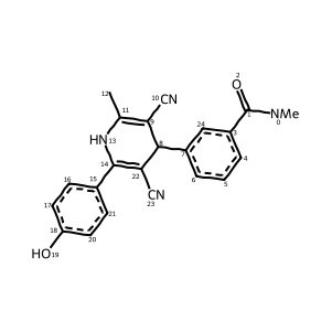 CNC(=O)c1cccc(C2C(C#N)=C(C)NC(c3ccc(O)cc3)=C2C#N)c1